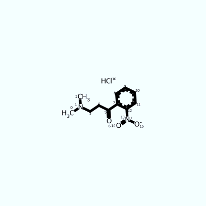 CN(C)CCC(=O)c1ccccc1[N+](=O)[O-].Cl